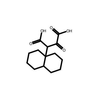 O=C(O)C(=O)C(C(=O)O)C12CCCCC1CCCC2